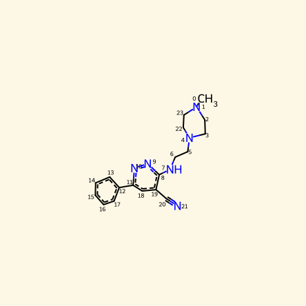 CN1CCN(CCNc2nnc(-c3ccccc3)cc2C#N)CC1